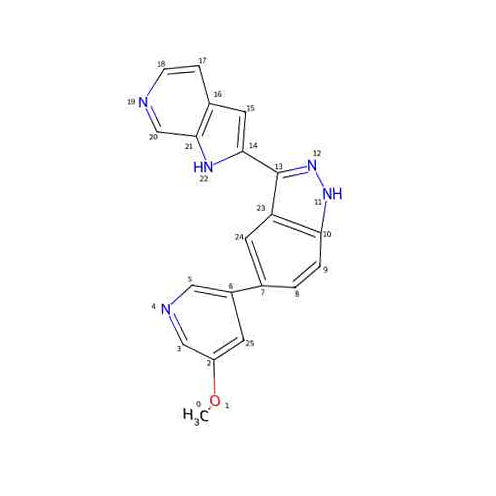 COc1cncc(-c2ccc3[nH]nc(-c4cc5ccncc5[nH]4)c3c2)c1